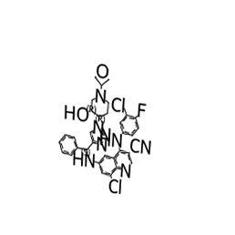 N#Cc1cnc2c(Cl)cc(N[C@@H](c3ccccc3)c3cn([C@@H]4CCN(C5COC5)C[C@H]4O)nn3)cc2c1Nc1ccc(F)c(Cl)c1